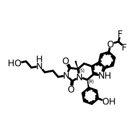 C[C@@]12Cc3c([nH]c4ccc(OC(F)F)cc34)[C@@H](c3cccc(O)c3)N1C(=O)N(CCCNCCO)C2=O